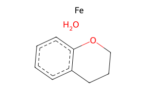 O.[Fe].c1ccc2c(c1)CCCO2